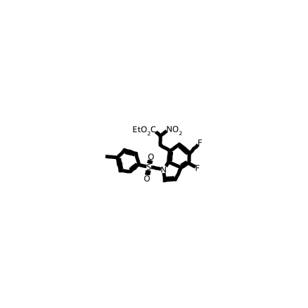 CCOC(=O)C(Cc1cc(F)c(F)c2ccn(S(=O)(=O)c3ccc(C)cc3)c12)[N+](=O)[O-]